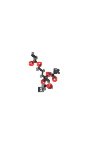 C=CC(=O)OCCC[Si](C)(OC(=O)CC)OC(=O)CC